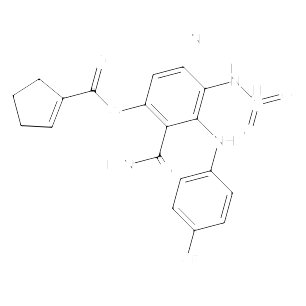 NC(=O)c1c(OC(=O)C2=CCCC2)ccc(N[SH](=O)=O)c1Nc1ccc(C(F)(F)F)cc1.[NaH]